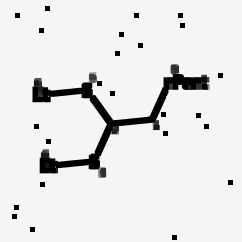 CCCCCCC(SCC)SCC